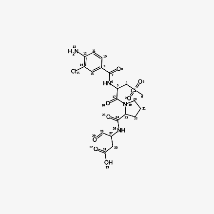 CS(=O)(=O)CC(NC(=O)c1ccc(N)c(Cl)c1)C(=O)N1CCCC1C(=O)NC(C=O)CC(=O)O